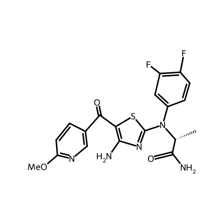 COc1ccc(C(=O)c2sc(N(c3ccc(F)c(F)c3)[C@H](C)C(N)=O)nc2N)cn1